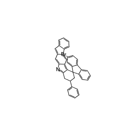 Brc1ccc2c(c1)C1(CC(c3ccccc3)CC3=Nc4cc5c(cc4=C31)-c1ccccc1C=5)c1ccccc1-2